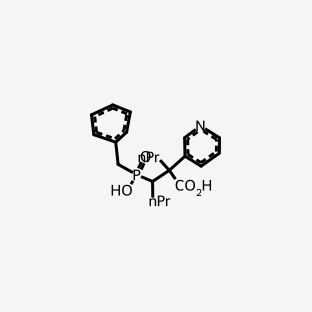 CCCC(C(CCC)(C(=O)O)c1cccnc1)P(=O)(O)Cc1ccccc1